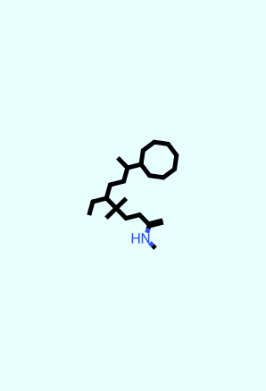 C=C(CCC(C)(C)C(CC)CCC(C)C1CCCCCCC1)NC